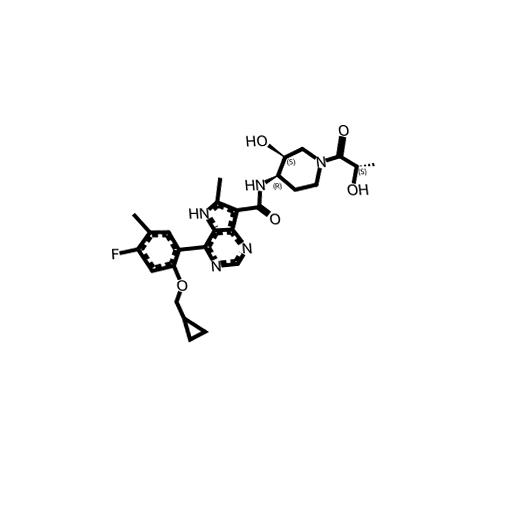 Cc1cc(-c2ncnc3c(C(=O)N[C@@H]4CCN(C(=O)[C@H](C)O)C[C@@H]4O)c(C)[nH]c23)c(OCC2CC2)cc1F